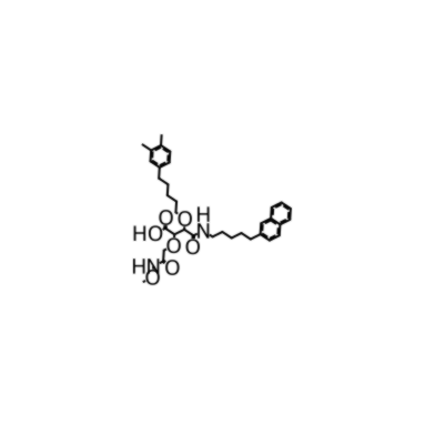 CONC(=O)COC(C(=O)O)C(OCCCCCc1ccc(C)c(C)c1)C(=O)NCCCCCc1ccc2ccccc2c1